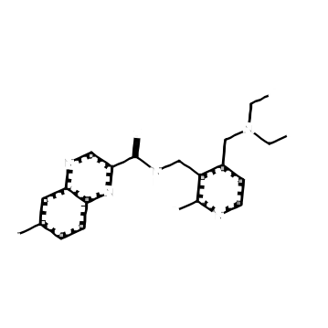 CCN(CC)Cc1ccnc(F)c1CNC(=O)c1cnc2cc(I)ccc2n1